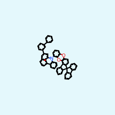 c1ccc(-c2cccc(-c3cccc(N(c4ccccc4-c4ccccc4)c4cccc5c4Oc4c(ccc6c4-c4ccccc4C64c6ccccc6-c6ccccc64)O5)c3)c2)cc1